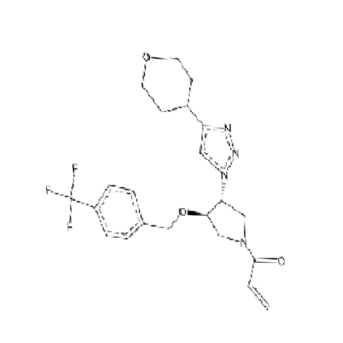 C=CC(=O)N1C[C@@H](n2cc(C3CCOCC3)nn2)[C@H](OCc2ccc(C(F)(F)F)cc2)C1